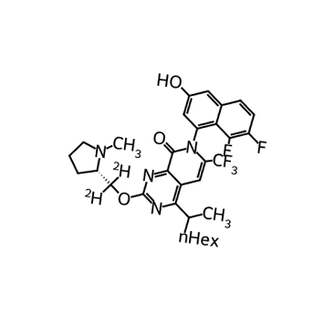 [2H]C([2H])(Oc1nc(C(C)CCCCCC)c2cc(C(F)(F)F)n(-c3cc(O)cc4ccc(F)c(F)c34)c(=O)c2n1)[C@@H]1CCCN1C